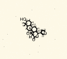 CC(=O)O[C@@H]1CC2C(C)(C)[C@@H](O)CC[C@]2(C)C2CC[C@]3(C)[C@@H](c4ccoc4)OC(=O)[C@H]4C[C@]43[C@@]21C